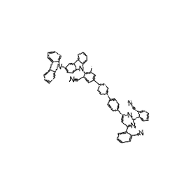 Cc1cc(-c2ccc(-c3ccc(-c4cc(-c5ccccc5C#N)nc(-c5ccccc5C#N)n4)cc3)cc2)cc(C#N)c1-n1c2ccccc2c2cc(-n3c4ccccc4c4ccccc43)ccc21